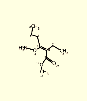 CCC/C(ON)=C(\CC)C(=O)OC